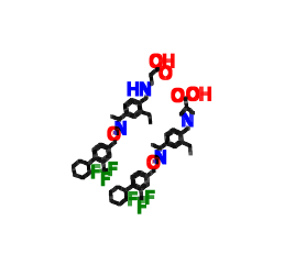 CCc1cc(C(C)=NOCc2ccc(C3CCCCC3)c(C(F)(F)F)c2)ccc1CN1CC(C(=O)O)C1.CCc1cc(C(C)=NOCc2ccc(C3CCCCC3)c(C(F)(F)F)c2)ccc1CNCCC(=O)O